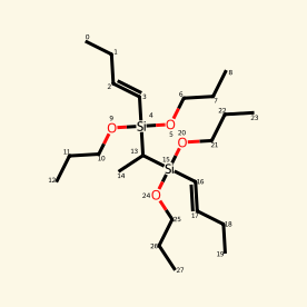 CCC=C[Si](OCCC)(OCCC)C(C)[Si](C=CCC)(OCCC)OCCC